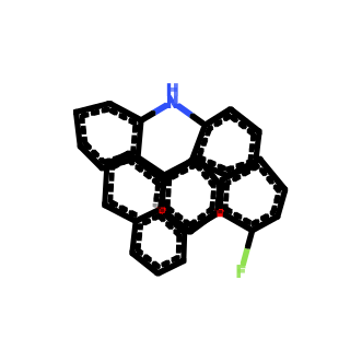 Fc1ccccc1-c1cccc2cccc(-c3ccccc3Nc3ccccc3-c3ccccc3)c12